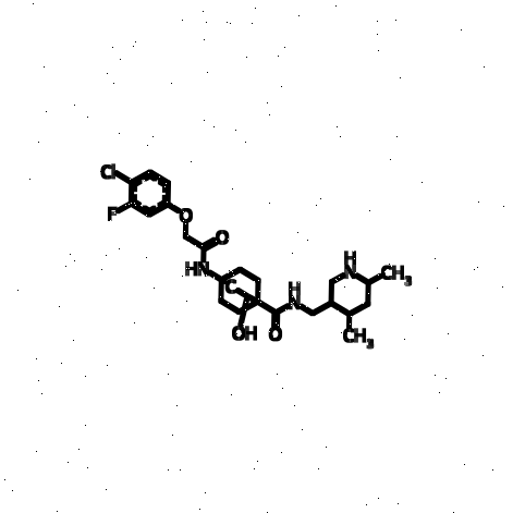 CC1CC(C)C(CNC(=O)C23CCC(NC(=O)COc4ccc(Cl)c(F)c4)(CC2)CC3O)CN1